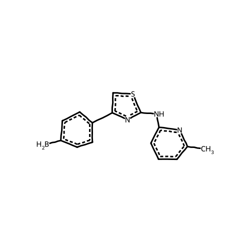 Bc1ccc(-c2csc(Nc3cccc(C)n3)n2)cc1